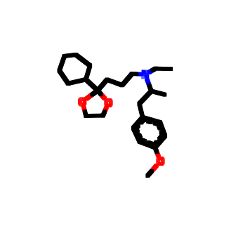 CCN(CCCC1(C2CCCCC2)OCCO1)C(C)Cc1ccc(OC)cc1